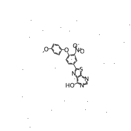 COc1ccc(Oc2ccc(-c3nc4c(O)ncnc4s3)cc2[N+](=O)[O-])cc1